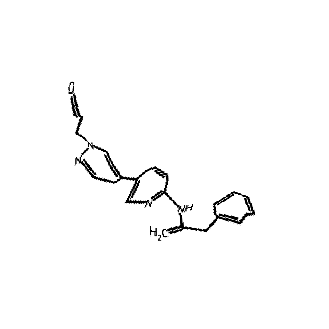 C=C(Cc1ccccc1)Nc1ccc(-c2cnn(CC=O)c2)cn1